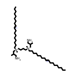 CCCCCCCC/C=C/CCCCCCCC[N+](C)(CCCC[N+](C)(CCCCCCCC/C=C/CCCCCCCC)CC(C)CN)CC(C)CN